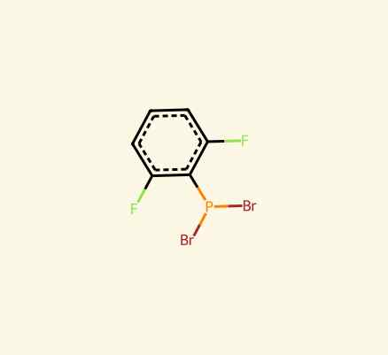 Fc1cccc(F)c1P(Br)Br